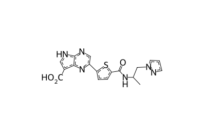 CC(Cn1cccn1)NC(=O)c1ccc(-c2cnc3[nH]cc(C(=O)O)c3n2)s1